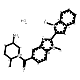 CCn1c(-c2nc3cc(C(=O)N4CC(N)CCC4C)ccc3n2C)cc2ccccc21.Cl